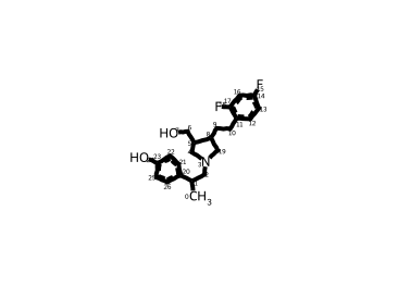 CC(CN1CC(CO)C(CCc2ccc(F)cc2F)C1)c1ccc(O)cc1